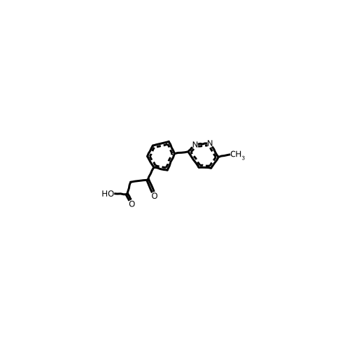 Cc1ccc(-c2cccc(C(=O)CC(=O)O)c2)nn1